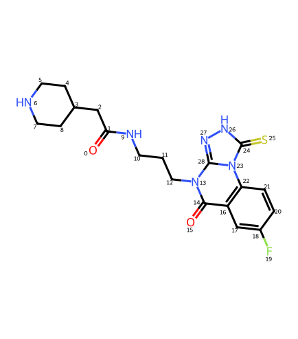 O=C(CC1CCNCC1)NCCCn1c(=O)c2cc(F)ccc2n2c(=S)[nH]nc12